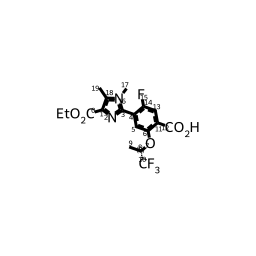 CCOC(=O)c1nc(-c2cc(O[C@@H](C)C(F)(F)F)c(C(=O)O)cc2F)n(C)c1C